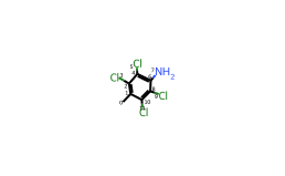 Cc1c(Cl)c(Cl)c(N)c(Cl)c1Cl